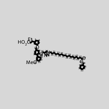 CCC(CC(=O)O)c1cccc(OCc2ccc(-c3cc(OC)ccc3F)c(OCc3cn(CCCCCCCCCCCCCCCCCC(=O)OCc4ccccc4)nn3)c2)c1